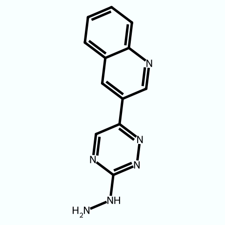 NNc1ncc(-c2cnc3ccccc3c2)nn1